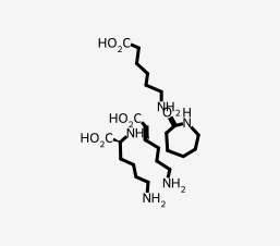 NCCC/C=C/C(=O)O.NCCCCCC(=O)O.NCCCC[C@H](N)C(=O)O.O=C1CCCCCN1